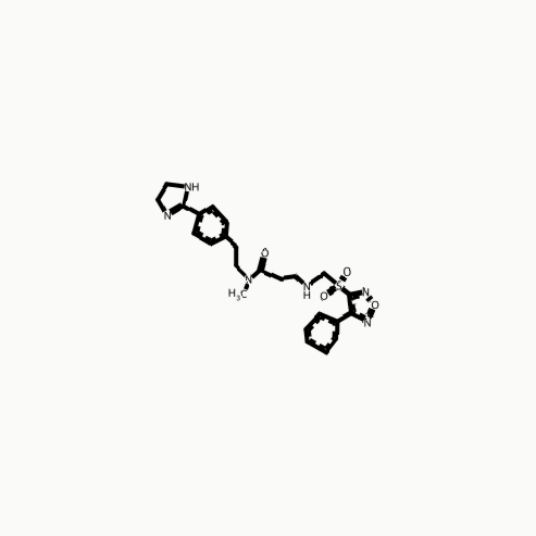 CN(CCc1ccc(C2=NCCN2)cc1)C(=O)CCNCS(=O)(=O)c1nonc1-c1ccccc1